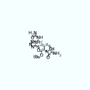 CC(C)(C)OC(=O)C1=C(C(CCNC(N)=O)Sc2nnn[nH]2)CS[C@H]2C(N)C(=O)N12